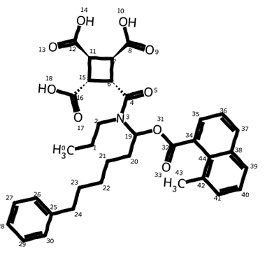 CCCN(C(=O)[C@H]1[C@H](C(=O)O)[C@H](C(=O)O)[C@H]1C(=O)O)C(CCCCCc1ccccc1)OC(=O)c1cccc2cccc(C)c12